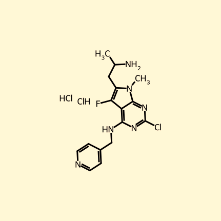 CC(N)Cc1c(F)c2c(NCc3ccncc3)nc(Cl)nc2n1C.Cl.Cl